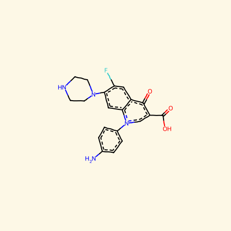 Nc1ccc(-n2cc(C(=O)O)c(=O)c3cc(F)c(N4CCNCC4)cc32)cc1